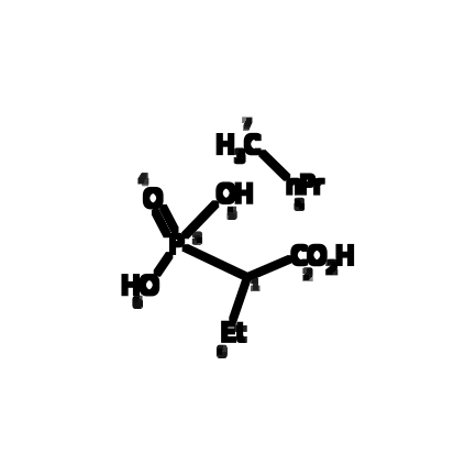 CCC(C(=O)O)P(=O)(O)O.CCCC